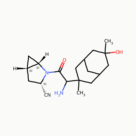 CC1(O)CC2CC(C1)CC(C)(C(N)C(=O)N1[C@H](C#N)C[C@@H]3C[C@@H]31)C2